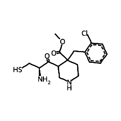 COC(=O)C1(Cc2ccccc2Cl)CCNCC1C(=O)[C@@H](N)CS